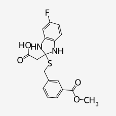 COC(=O)c1cccc(CSC2(CC(=O)O)Nc3ccc(F)cc3N2)c1